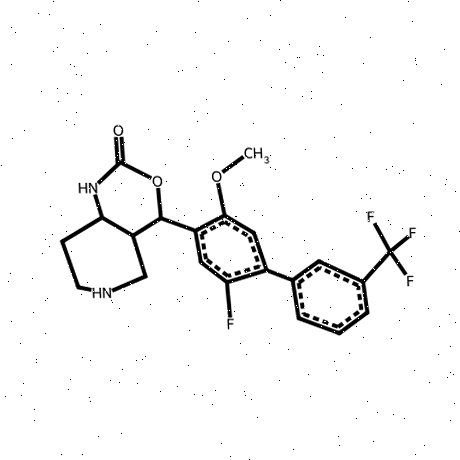 COc1cc(-c2cccc(C(F)(F)F)c2)c(F)cc1C1OC(=O)NC2CCNCC21